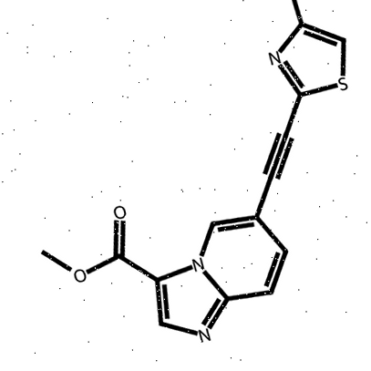 COC(=O)c1cnc2ccc(C#Cc3nc(C)cs3)cn12